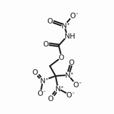 O=C(N[N+](=O)[O-])OCC([N+](=O)[O-])([N+](=O)[O-])[N+](=O)[O-]